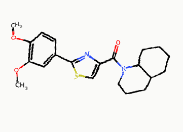 COc1ccc(-c2nc(C(=O)N3CCCC4CCCCC43)cs2)cc1OC